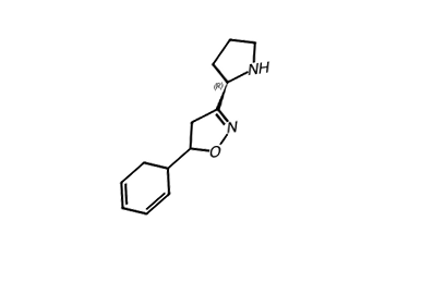 C1=CCC(C2CC([C@H]3CCCN3)=NO2)C=C1